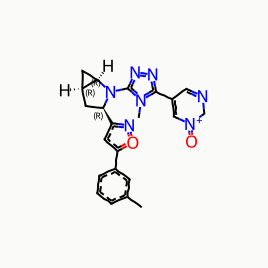 Cc1cccc(-c2cc([C@H]3C[C@H]4C[C@H]4N3c3nnc(C4=C[N+](=O)CN=C4)n3C)no2)c1